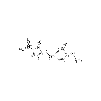 CSc1ccc(OCc2ncc([N+](=O)[O-])n2C)cc1Cl